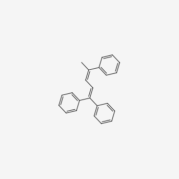 CC(=CC=C(c1ccccc1)c1ccccc1)c1ccccc1